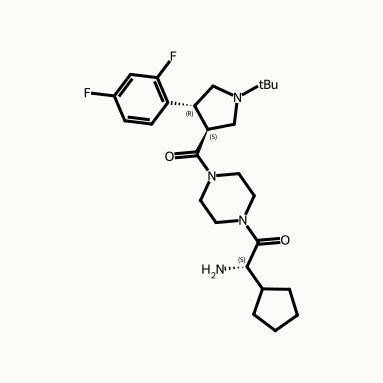 CC(C)(C)N1C[C@@H](C(=O)N2CCN(C(=O)[C@@H](N)C3CCCC3)CC2)[C@H](c2ccc(F)cc2F)C1